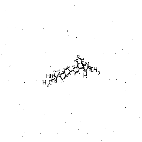 Cc1nc2c([nH]1)CCc1c-2ccc2cc(-c3ccc4c(c3)c3sccc3c3nc(C)[nH]c43)ccc12